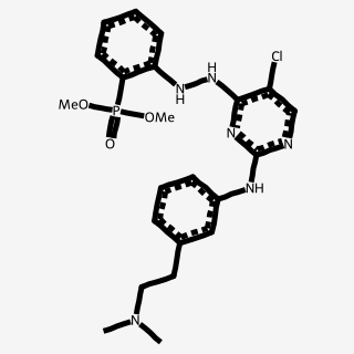 COP(=O)(OC)c1ccccc1NNc1nc(Nc2cccc(CCN(C)C)c2)ncc1Cl